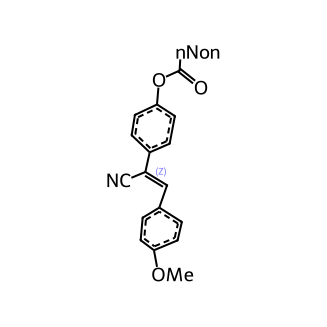 CCCCCCCCCC(=O)Oc1ccc(/C(C#N)=C/c2ccc(OC)cc2)cc1